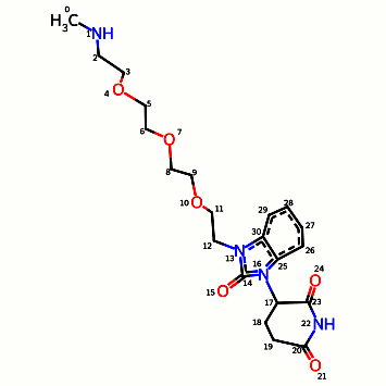 CNCCOCCOCCOCCn1c(=O)n(C2CCC(=O)NC2=O)c2ccccc21